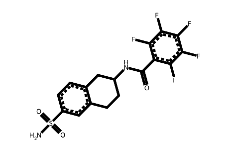 NS(=O)(=O)c1ccc2c(c1)CCC(NC(=O)c1c(F)c(F)c(F)c(F)c1F)C2